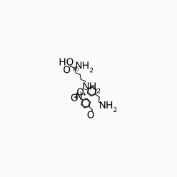 NCCCC[C@@H](N)C(=O)O.NCCc1ccccc1.O=Cc1ccc([N+](=O)[O-])cc1